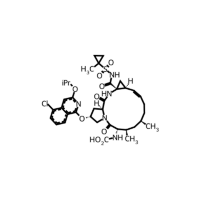 CC(C)Oc1cc2c(Cl)cccc2c(O[C@@H]2C[C@H]3C(=O)N[C@]4(C(=O)NS(=O)(=O)C5(C)CC5)C[C@H]4C=CCC[C@@H](C)C[C@@H](C)[C@H](NC(=O)O)C(=O)N3C2)n1